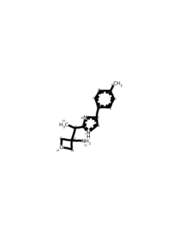 Cc1ccc(-c2c[nH]c(C(C)C3(N)COC3)n2)cc1